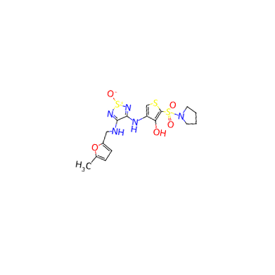 Cc1ccc(CNc2n[s+]([O-])nc2Nc2csc(S(=O)(=O)N3CCCC3)c2O)o1